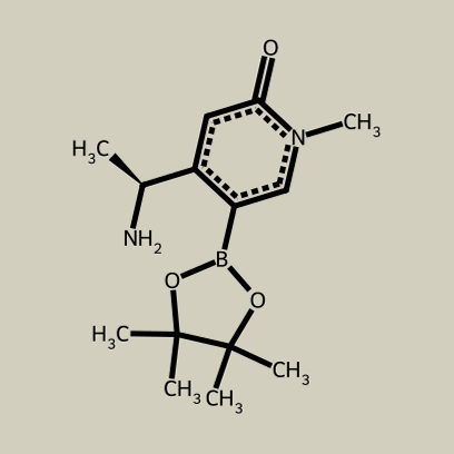 C[C@H](N)c1cc(=O)n(C)cc1B1OC(C)(C)C(C)(C)O1